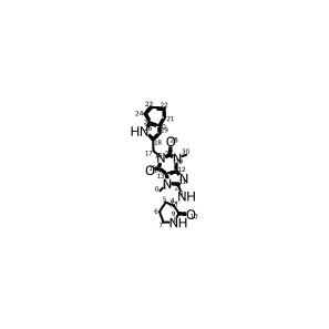 Cn1c(N[C@H]2CCCNC2=O)nc2c1c(=O)n(Cc1cc3ccccc3[nH]1)c(=O)n2C